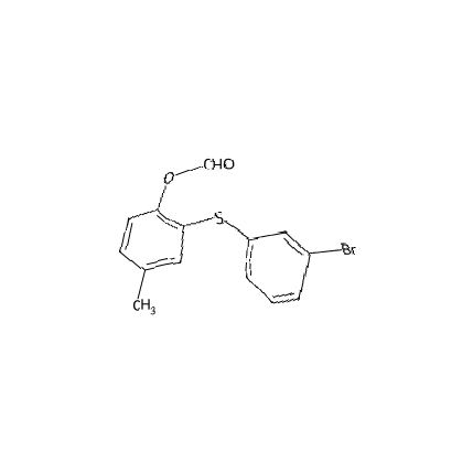 Cc1ccc(OC=O)c(Sc2cccc(Br)c2)c1